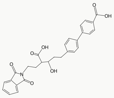 O=C(O)c1ccc(-c2ccc(CCC(O)C(CCN3C(=O)c4ccccc4C3=O)C(=O)O)cc2)cc1